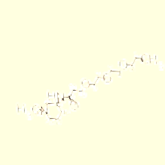 CCCOCCOCCOCCC(=O)NC1CCCN(C)C1